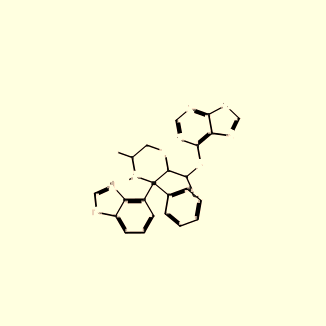 CC(Nc1ncnc2[nH]cnc12)C1OCC(F)N(C=O)C1(c1ccccc1)c1cccc2[nH]cnc12